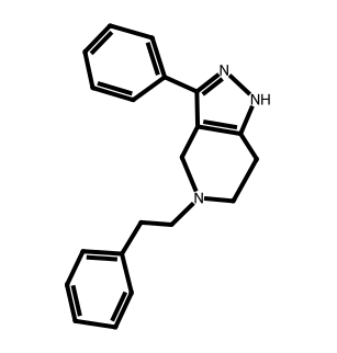 c1ccc(CCN2CCc3[nH]nc(-c4ccccc4)c3C2)cc1